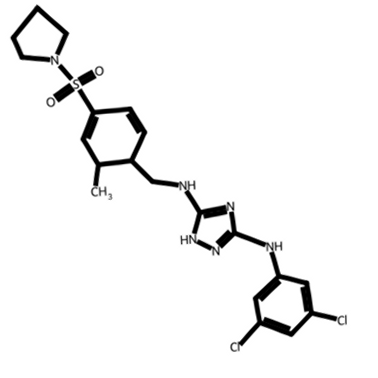 CC1C=C(S(=O)(=O)N2CCCC2)C=CC1CNc1nc(Nc2cc(Cl)cc(Cl)c2)n[nH]1